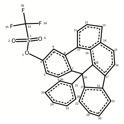 O=S(=O)(Oc1ccc2c(c1)-c1cccc3ccc4c(c13)C2(c1ccccc1)c1ccccc1-4)C(F)(F)F